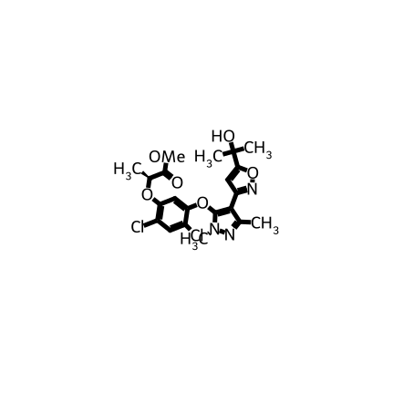 COC(=O)[C@H](C)Oc1cc(Oc2c(-c3cc(C(C)(C)O)on3)c(C)nn2C)c(Cl)cc1Cl